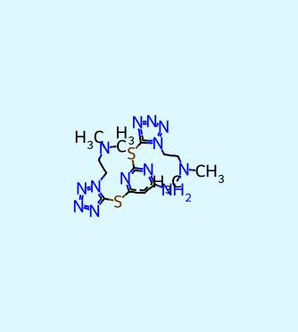 CN(C)CCn1nnnc1Sc1cc(N)nc(Sc2nnnn2CCN(C)C)n1